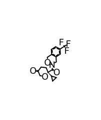 O=C1CC[C@@](C(=O)N2Cc3cc(C(F)(F)F)ccc3CO2)(C2CC2)OC1